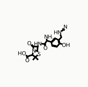 CC1(C)SC2C(NC(=O)C(N)c3ccc(O)c(CNC#N)c3)C(=O)N2C1C(=O)O